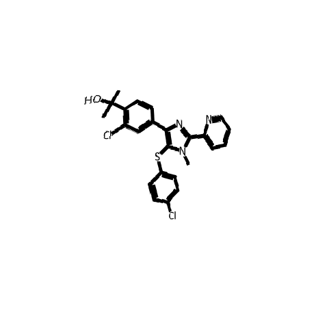 Cn1c(-c2ccccn2)nc(-c2ccc(C(C)(C)O)c(Cl)c2)c1Sc1ccc(Cl)cc1